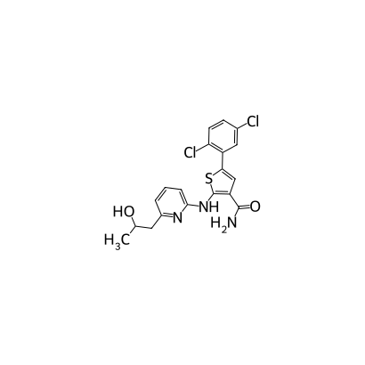 CC(O)Cc1cccc(Nc2sc(-c3cc(Cl)ccc3Cl)cc2C(N)=O)n1